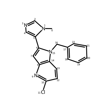 Cn1cncc1-c1cc2nc(Cl)ccc2n1Cc1ccccc1